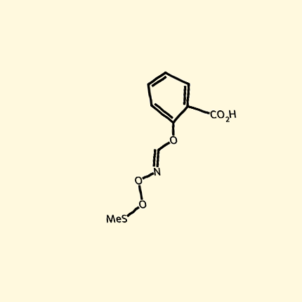 CSOO/N=C/Oc1ccccc1C(=O)O